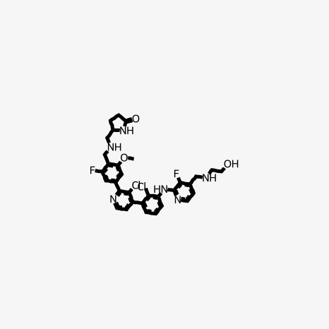 COc1cc(-c2nccc(-c3cccc(Nc4nccc(CNCCO)c4F)c3Cl)c2Cl)cc(F)c1CNCC1CCC(=O)N1